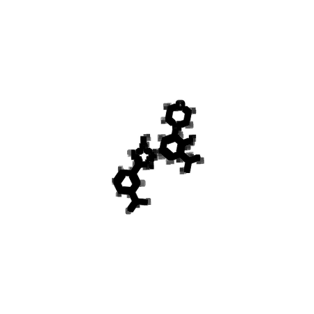 CC(C)c1cccc(-c2nn(C)[n+](-c3cc(C(C)C)c(F)c(N4CCOCC4)c3)n2)c1